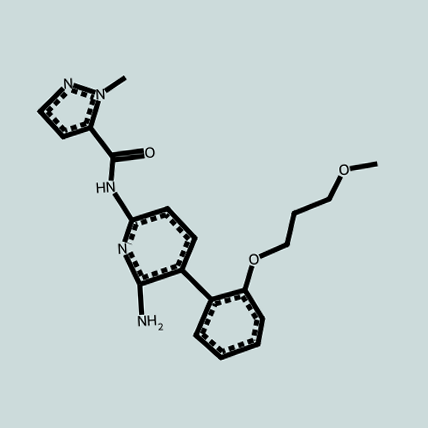 COCCCOc1ccccc1-c1ccc(NC(=O)c2ccnn2C)nc1N